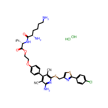 CC(C)[C@H](NC(=O)[C@@H](N)CCCCN)C(=O)OCCOc1ccc(-c2c(C#N)c(N)nc(SCc3csc(-c4ccc(Cl)cc4)n3)c2C#N)cc1.Cl.Cl